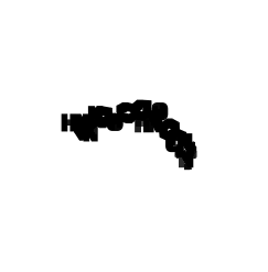 CN1CCN(Cc2ccc(NC(=O)c3ccc4ccc(Oc5ccnc(C6=NCCN6)c5)cc4c3)cc2C(F)(F)F)CC1